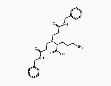 NCCC[C@@H](C(=O)O)N(CCC(=O)NCc1ccccc1)CCC(=O)NCc1ccccc1